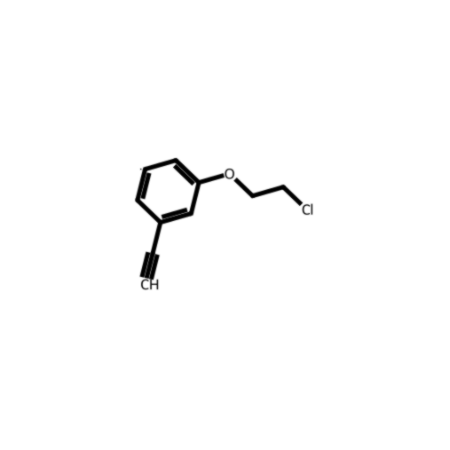 C#Cc1c[c]cc(OCCCl)c1